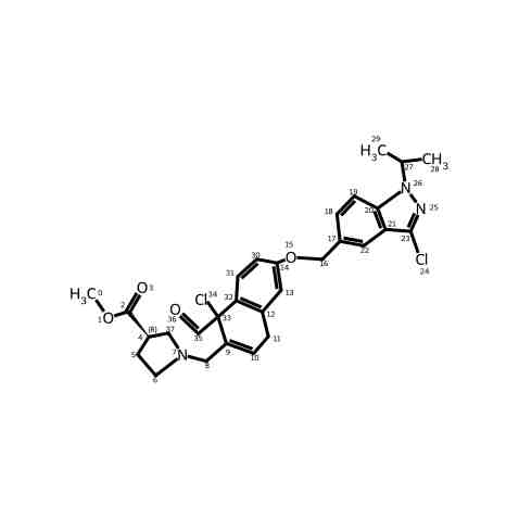 COC(=O)[C@@H]1CCN(CC2=CCc3cc(OCc4ccc5c(c4)c(Cl)nn5C(C)C)ccc3C2(Cl)C=O)C1